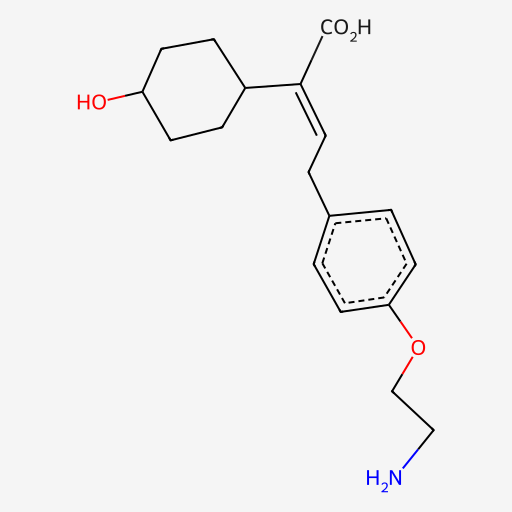 NCCOc1ccc(C/C=C(/C(=O)O)C2CCC(O)CC2)cc1